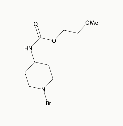 COCCOC(=O)NC1CCN(Br)CC1